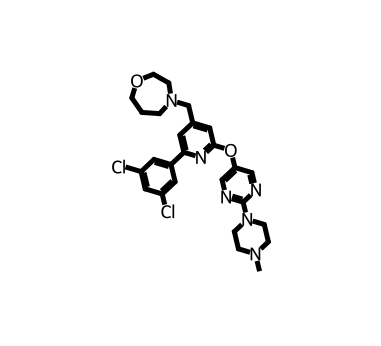 CN1CCN(c2ncc(Oc3cc(CN4CCCOCC4)cc(-c4cc(Cl)cc(Cl)c4)n3)cn2)CC1